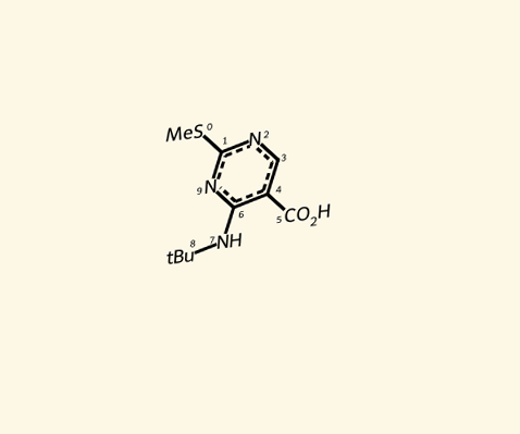 CSc1ncc(C(=O)O)c(NC(C)(C)C)n1